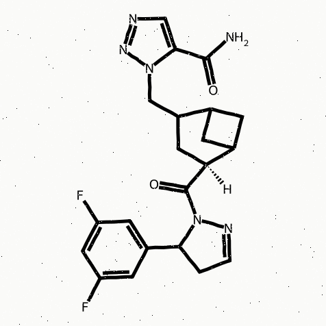 NC(=O)c1cnnn1CC1C[C@H](C(=O)N2N=CCC2c2cc(F)cc(F)c2)C2CC1C2